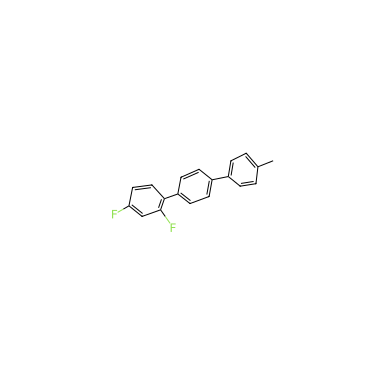 Cc1ccc(-c2ccc(-c3ccc(F)cc3F)cc2)cc1